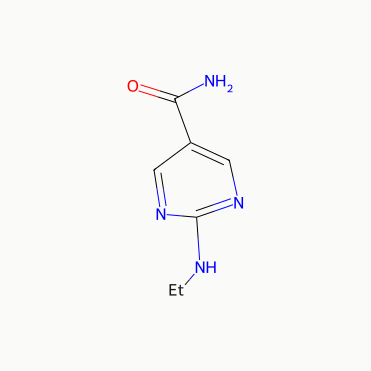 CCNc1ncc(C(N)=O)cn1